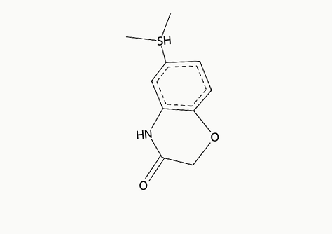 C[SH](C)c1ccc2c(c1)NC(=O)CO2